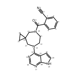 N#Cc1ccccc1C(=O)N1CCN(c2ncnc3[nH]ccc23)CC2(CC2)C1